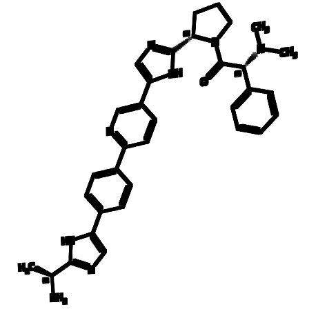 C[C@H](N)c1ncc(-c2ccc(-c3ccc(-c4cnc([C@@H]5CCCN5C(=O)[C@@H](c5ccccc5)N(C)C)[nH]4)cn3)cc2)[nH]1